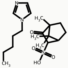 CC12CCC(C(S(=O)(=O)O)C1=O)C2(C)C.CCCCCn1ccnc1